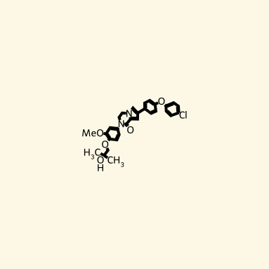 COc1cc(N2CCn3cc(-c4ccc(Oc5ccc(Cl)cc5)cc4)cc3C2=O)ccc1OCC(C)(C)O